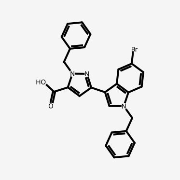 O=C(O)c1cc(-c2cn(Cc3ccccc3)c3ccc(Br)cc23)nn1Cc1ccccc1